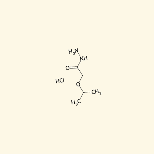 CC(C)OCC(=O)NN.Cl